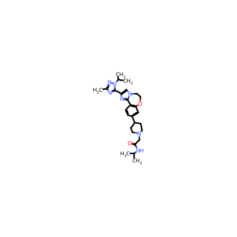 Cc1nc(-c2cn3c(n2)-c2ccc(C4CCN(CC(=O)NC(C)C)CC4)cc2OCC3)n(C(C)C)n1